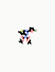 Cc1cc2c(N(C(=O)OC(C)(C)C)C(=O)OC(C)(C)C)nc(-c3ccc(Cl)o3)nc2s1